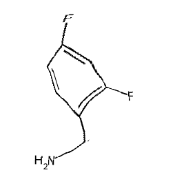 N[CH]c1ccc(F)cc1F